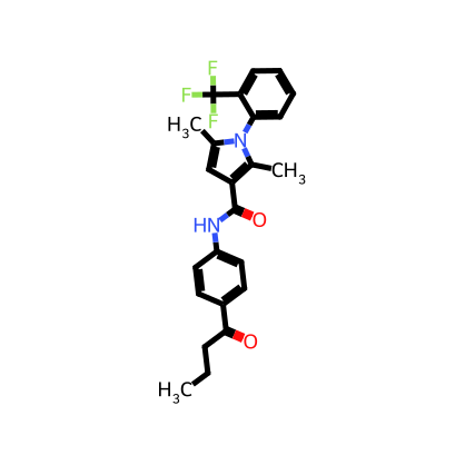 CCCC(=O)c1ccc(NC(=O)c2cc(C)n(-c3ccccc3C(F)(F)F)c2C)cc1